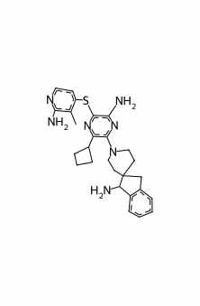 Cc1c(Sc2nc(C3CCC3)c(N3CCC4(CC3)Cc3ccccc3C4N)nc2N)ccnc1N